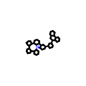 c1cc(-c2ccc3c(c2)c2cccc4c5ccccc5c5ccccc5c5ccccc5n3c42)cc(-c2cc3ccccc3c3ccccc23)c1